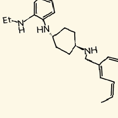 C=C/C(=C\C=C/C)CN[C@H]1CC[C@H](Nc2ccccc2NCC)CC1